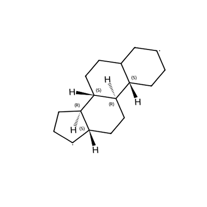 [CH]1CC[C@H]2C(C1)CC[C@H]1[C@@H]3CC[CH][C@H]3CC[C@@H]12